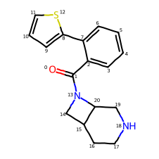 O=C(c1ccccc1-c1cccs1)N1CC2CCNCC21